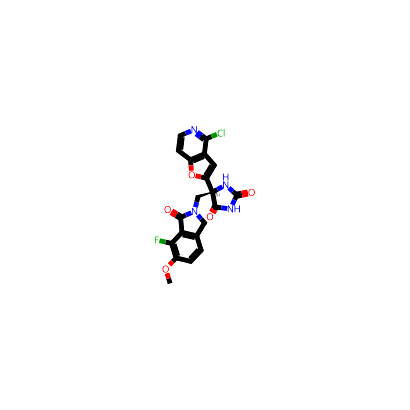 COc1ccc2c(c1F)C(=O)N(C[C@@]1(c3cc4c(Cl)nccc4o3)NC(=O)NC1=O)C2